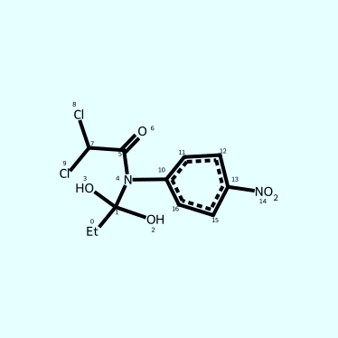 CCC(O)(O)N(C(=O)C(Cl)Cl)c1ccc([N+](=O)[O-])cc1